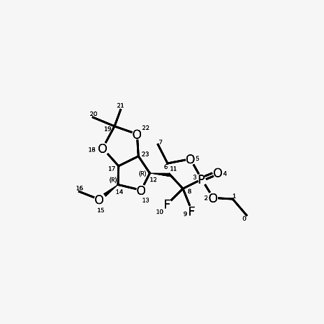 CCOP(=O)(OCC)C(F)(F)C[C@H]1O[C@@H](OC)C2OC(C)(C)OC21